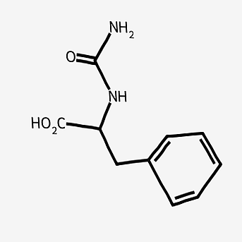 NC(=O)NC(Cc1ccccc1)C(=O)O